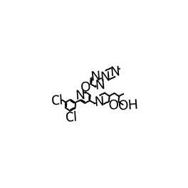 CC(CC1CCN(Cc2cc(Oc3cnc(N4CCN(C)CC4)nc3)nc(-c3cc(Cl)cc(Cl)c3)c2)CC1)C(=O)O